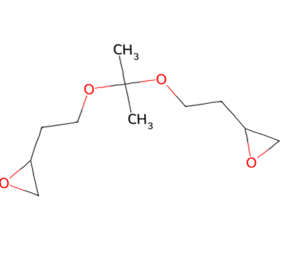 CC(C)(OCCC1CO1)OCCC1CO1